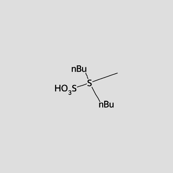 CCCCS(C)(CCCC)S(=O)(=O)O